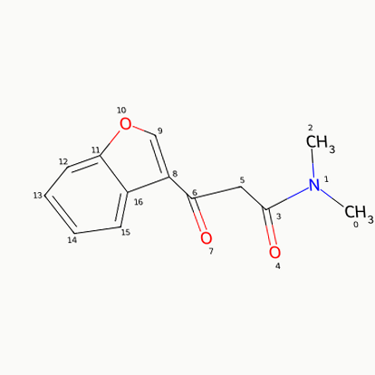 CN(C)C(=O)CC(=O)c1coc2ccccc12